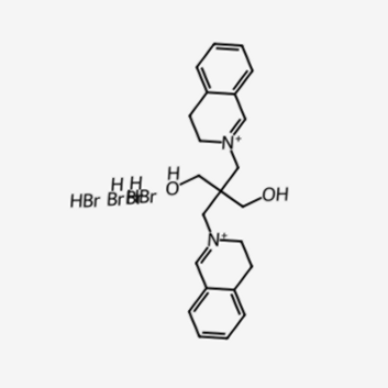 Br.Br.Br.Br.OCC(CO)(C[N+]1=Cc2ccccc2CC1)C[N+]1=Cc2ccccc2CC1